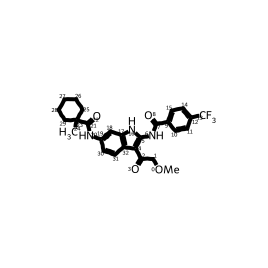 COCC(=O)c1c(NC(=O)c2ccc(C(F)(F)F)cc2)[nH]c2cc(NC(=O)C3(C)CCCCC3)ccc12